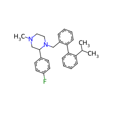 CC(C)c1ccccc1-c1ccccc1CN1CCN(C)CC1c1ccc(F)cc1